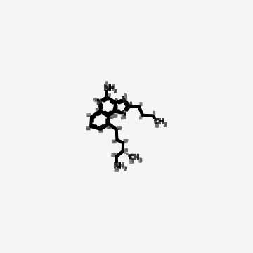 CCCCc1nc2c(N)nc3cccc(CCC[C@H](C)CN)c3c2s1